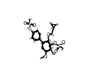 COc1cc(-c2ccc(OS(C)(=O)=O)cc2)c(OCC2CC2)c(OS(C)(=O)=O)c1Br